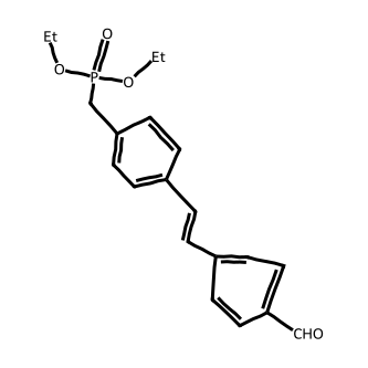 CCOP(=O)(Cc1ccc(C=Cc2ccc(C=O)cc2)cc1)OCC